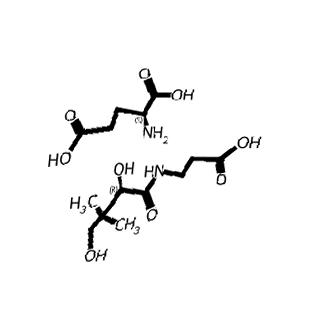 CC(C)(CO)[C@@H](O)C(=O)NCCC(=O)O.N[C@@H](CCC(=O)O)C(=O)O